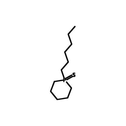 CCCCCCP1(=S)CCCCC1